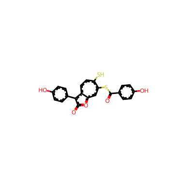 O=C(Sc1cc2oc(=O)c(-c3ccc(O)cc3)c-2ccc1S)c1ccc(O)cc1